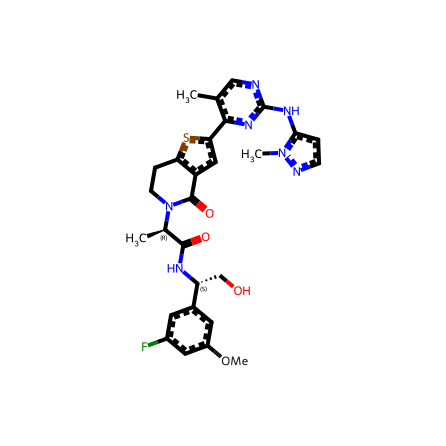 COc1cc(F)cc([C@@H](CO)NC(=O)[C@@H](C)N2CCc3sc(-c4nc(Nc5ccnn5C)ncc4C)cc3C2=O)c1